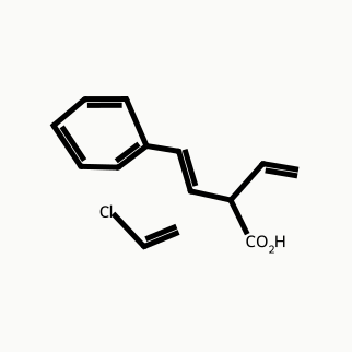 C=CC(C=Cc1ccccc1)C(=O)O.C=CCl